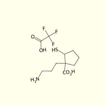 NCCCC1(C(=O)O)CCCC1S.O=C(O)C(F)(F)F